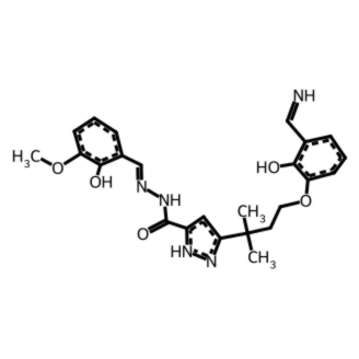 COc1cccc(/C=N/NC(=O)c2cc(C(C)(C)CCOc3cccc(C=N)c3O)n[nH]2)c1O